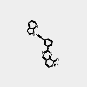 O=c1[nH]ccc2cnc(-c3cccc(C#C[C@@H]4CCc5cccnc54)c3)nc12